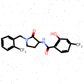 O=C(NC1CCN(Cc2ccccc2C(F)(F)F)C1=O)c1ccc(C(F)(F)F)cc1O